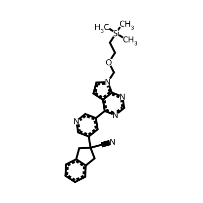 C[Si](C)(C)CCOCn1ccc2c(-c3cncc(C4(C#N)Cc5ccccc5C4)c3)ncnc21